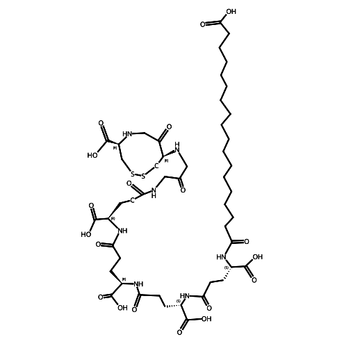 O=C(O)CCCCCCCCCCCCCCCCC(=O)N[C@@H](CCC(=O)N[C@@H](CCC(=O)N[C@H](CCC(=O)N[C@H](CCC(=O)NCC(=O)CN[C@H]1CSSC[C@@H](C(=O)O)NCC1=O)C(=O)O)C(=O)O)C(=O)O)C(=O)O